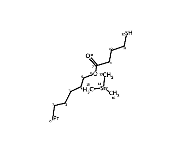 CC(C)CCCCCOC(=O)CCCS.[CH3][Sn]([CH3])[CH3]